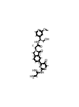 COc1cc([C@@H](CO)NC(=O)[C@@H](C)N2Cc3ccc(-c4nc(NC(=N)C=N)ncc4Cl)cc3C2=O)ccn1